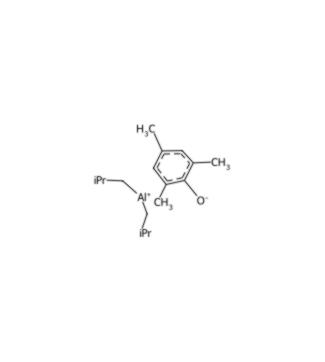 CC(C)[CH2][Al+][CH2]C(C)C.Cc1cc(C)c([O-])c(C)c1